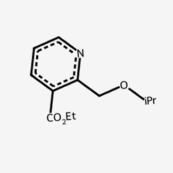 CCOC(=O)c1cccnc1COC(C)C